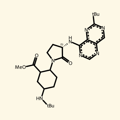 COC(=O)C1CC(NC(C)(C)C)CCC1N1CC[C@H](Nc2ncnc3cnc(C(C)(C)C)nc23)C1=O